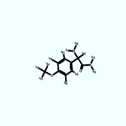 [2H]c1c([2H])c(C([2H])(C(=O)N([2H])[2H])N([2H])[2H])c([2H])c([2H])c1OC([2H])([2H])[2H]